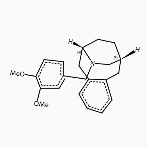 COc1ccc(CN2C[C@@H]3CC[C@H]2Cc2ccccc2C3)cc1OC